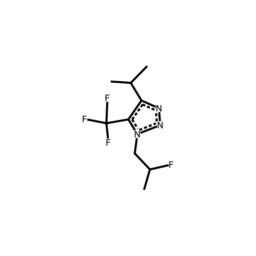 CC(F)Cn1nnc(C(C)C)c1C(F)(F)F